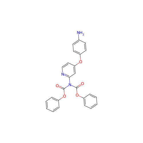 Nc1ccc(Oc2ccnc(N(C(=O)Oc3ccccc3)C(=O)Oc3ccccc3)c2)cc1